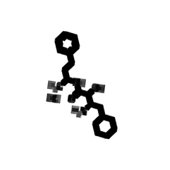 CC(CCc1ccccc1)NC(=O)C(O)[C@H](N)CC1CCCCC1.Cl